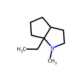 CCC12CCCC1CCN2C